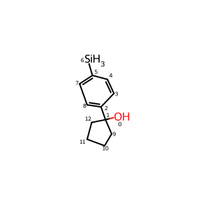 OC1(c2ccc([SiH3])cc2)CCCC1